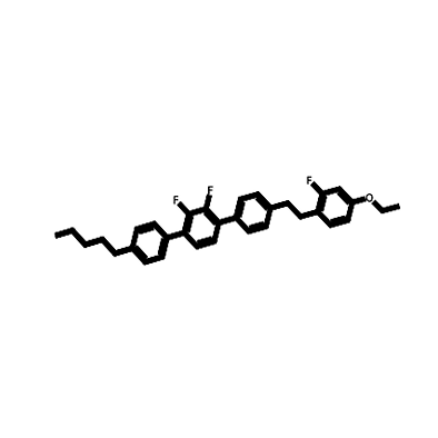 CCCCCc1ccc(-c2ccc(-c3ccc(CCc4ccc(OCC)cc4F)cc3)c(F)c2F)cc1